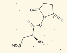 N[C@@H](CS(=O)(=O)O)C(=O)ON1C(=O)CCC1=O